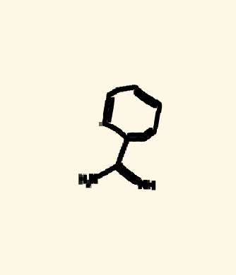 N=C(N)c1[c]cccc1